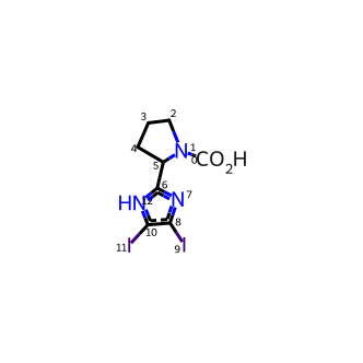 O=C(O)N1CCCC1c1nc(I)c(I)[nH]1